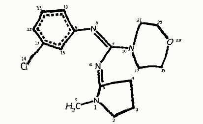 CN1CCCC1=NC(=Nc1cccc(Cl)c1)N1CCOCC1